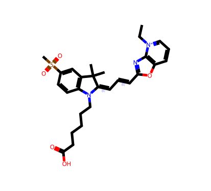 CC[n+]1cccc2oc(/C=C/C=C3/N(CCCCCC(=O)O)c4ccc(S(C)(=O)=O)cc4C3(C)C)nc21